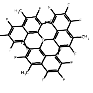 Cc1c(F)c(F)c(B(c2c(F)c(F)c(C)c3c(F)c(F)c(F)c(F)c23)c2c(F)c(F)c(C)c3c(F)c(F)c(F)c(F)c23)c2c(F)c(F)c(F)c(F)c12